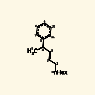 CCCCCCCC=CC(C)c1ccccc1